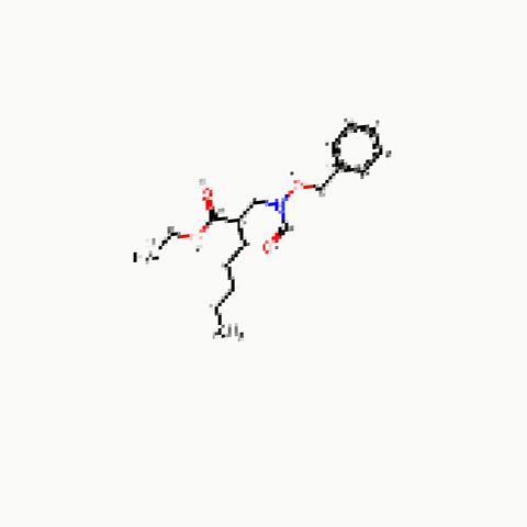 CCCCCC(CN(C=O)OCc1ccccc1)C(=O)OCC